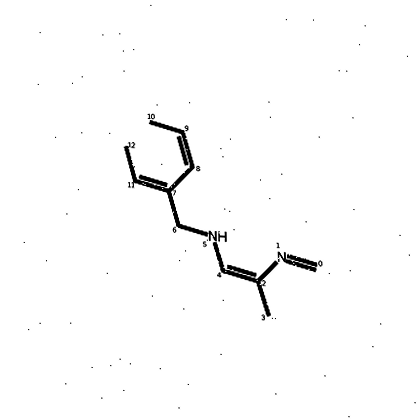 C=N/C(C)=C\NCC(/C=C\C)=C/C